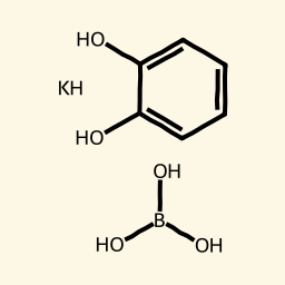 OB(O)O.Oc1ccccc1O.[KH]